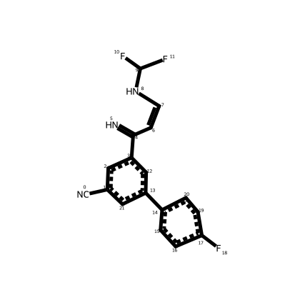 N#Cc1cc(C(=N)/C=C\NC(F)F)cc(-c2ccc(F)cc2)c1